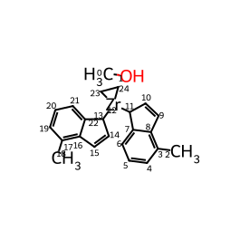 CO.Cc1cccc2c1C=C[CH]2[Zr]1([CH]2C=Cc3c(C)cccc32)[CH2][CH2]1